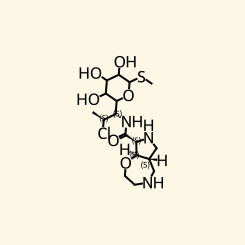 CSC1OC([C@H](NC(=O)[C@H]2NC[C@@H]3CNCCO[C@H]32)[C@H](C)Cl)C(O)C(O)C1O